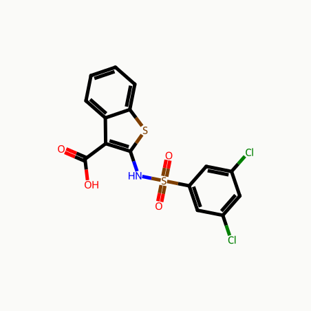 O=C(O)c1c(NS(=O)(=O)c2cc(Cl)cc(Cl)c2)sc2ccccc12